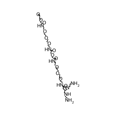 NCCNCC(CNCCN)CC(=O)NCCOCCOCCOCCNC(=O)COCC(=O)NCCOCCOCCOCCNC(=O)COCC=O